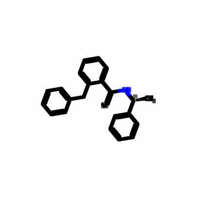 C[C@@H](NC(=[Se])c1ccccc1Cc1ccccc1)c1ccccc1